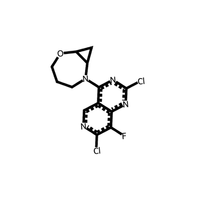 Fc1c(Cl)ncc2c(N3CCCOC4CC43)nc(Cl)nc12